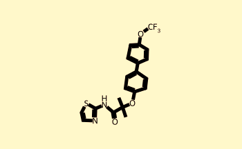 CC(C)(Oc1ccc(-c2ccc(OC(F)(F)F)cc2)cc1)C(=O)Nc1nccs1